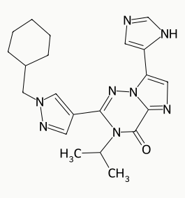 CC(C)n1c(-c2cnn(CC3CCCCC3)c2)nn2c(-c3cnc[nH]3)cnc2c1=O